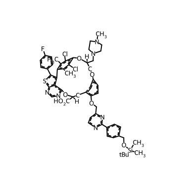 Cc1c(Cl)c2c(Cl)c(C)c1-c1c(-c3ccc(F)cc3)sc3ncnc(c13)O[C@@H](C(=O)O)Cc1cc(ccc1OCc1ccnc(-c3ccc(CO[Si](C)(C)C(C)(C)C)cc3)n1)OC[C@@H](CN1CCN(C)CC1)O2